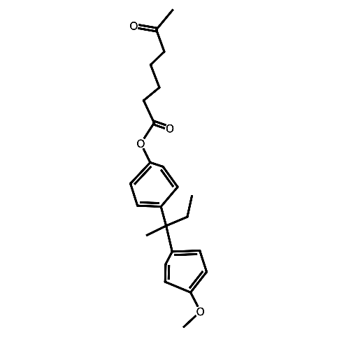 CCC(C)(c1ccc(OC)cc1)c1ccc(OC(=O)CCCCC(C)=O)cc1